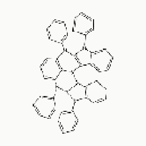 C1=CC2=C(CC1)C1B3c4c(cccc4N(c4ccccc4)C1N2c1ccccc1)N(c1ccccc1)c1c3c2ccccc2n1-c1ccccc1